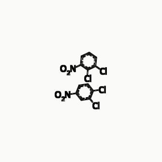 O=[N+]([O-])c1ccc(Cl)c(Cl)c1.O=[N+]([O-])c1cccc(Cl)c1Cl